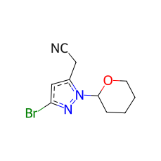 N#CCc1cc(Br)nn1C1CCCCO1